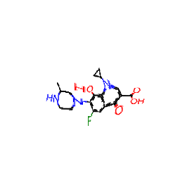 CC1CN(c2c(F)cc3c(=O)c(C(=O)O)cn(C4CC4)c3c2O)CCN1